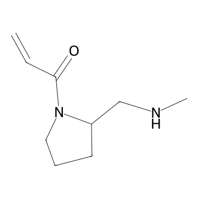 C=CC(=O)N1CCCC1CNC